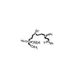 CO[Si](CO)(CCCN(CCN(CCNC(C)C)C(C)C)C(C)C)OC